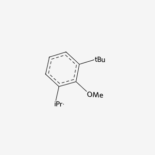 COc1c([C](C)C)cccc1C(C)(C)C